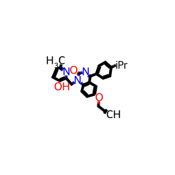 C#CCOc1ccc2c(c1)c(-c1ccc(C(C)C)cc1)nc(=O)n2Cc1nc(C)ccc1O